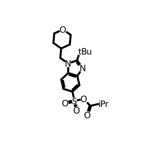 CC(C)C(=O)OS(=O)(=O)c1ccc2c(c1)nc(C(C)(C)C)n2CC1CCOCC1